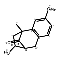 COc1ccc2c(c1)C1(C)CC(O)C(C2)C1=O